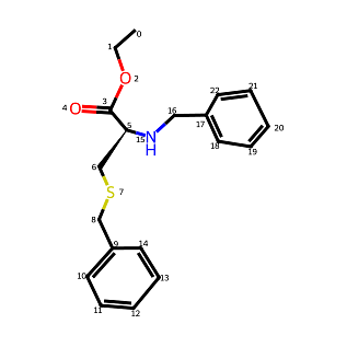 CCOC(=O)[C@H](CSCc1ccccc1)NCc1ccccc1